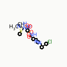 CN(C)CC[C@H](CSc1ccccc1)Nc1ccc(S(=O)(=O)NC(=O)c2ccc3c(c2)cc2n3CCN(Cc3ccccc3-c3ccc(Cl)cc3)C2)cc1[N+](=O)[O-]